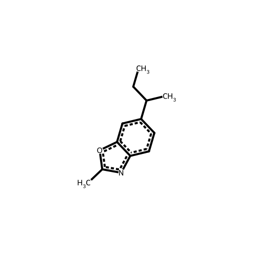 CCC(C)c1ccc2nc(C)oc2c1